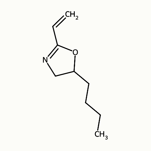 C=CC1=NCC(CCCC)O1